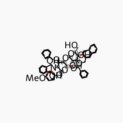 COc1ccc(O[C@H]2O[C@@H](COCc3ccccc3)[C@H](O[C@H]3O[C@@H](CO)[C@H](O)[C@@H](OCc4ccc5ccccc5c4)[C@@H]3O)[C@@H](OCc3ccccc3)[C@@H]2N2C(O)c3ccccc3C2O)cc1